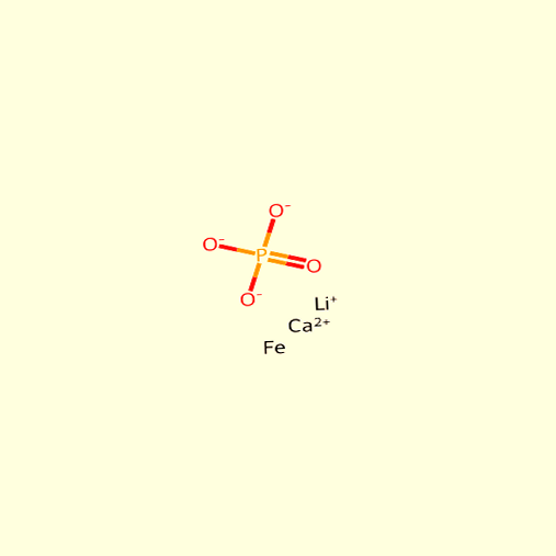 O=P([O-])([O-])[O-].[Ca+2].[Fe].[Li+]